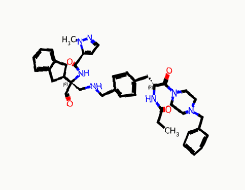 CCC(=O)N[C@H](Cc1ccc(CNC[C@](C=O)(NC(=O)c2ccnn2C)C2Cc3ccccc3C2)cc1)C(=O)N1CCN(Cc2ccccc2)CC1